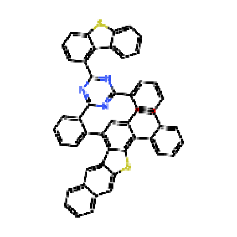 c1ccc(-c2nc(-c3ccccc3-c3cc4ccc5ccccc5c4c4sc5cc6ccccc6cc5c34)nc(-c3cccc4sc5ccccc5c34)n2)cc1